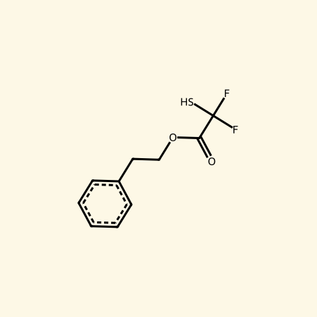 O=C(OCCc1ccccc1)C(F)(F)S